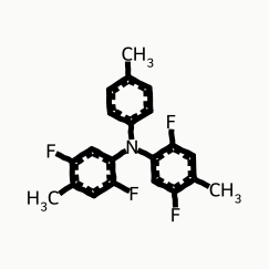 Cc1ccc(N(c2cc(F)c(C)cc2F)c2cc(F)c(C)cc2F)cc1